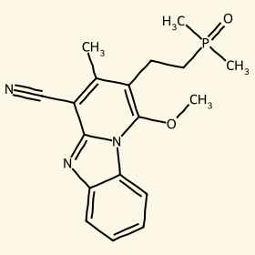 COc1c(CCP(C)(C)=O)c(C)c(C#N)c2nc3ccccc3n12